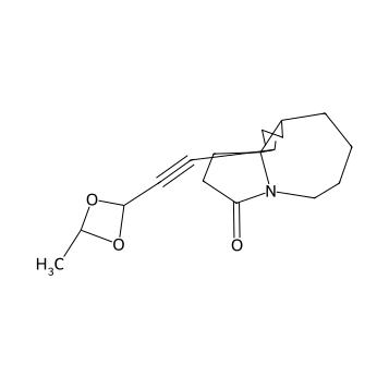 CC1OC(C#CC2=CCC3CCCCN4C(=O)CCC234)O1